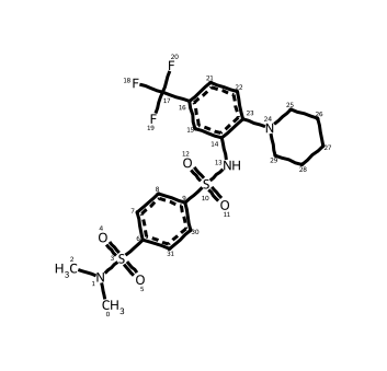 CN(C)S(=O)(=O)c1ccc(S(=O)(=O)Nc2cc(C(F)(F)F)ccc2N2CCCCC2)cc1